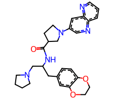 O=C(NC(Cc1ccc2c(c1)OCCO2)CN1CCCC1)C1CCN(c2cnc3cccnc3c2)C1